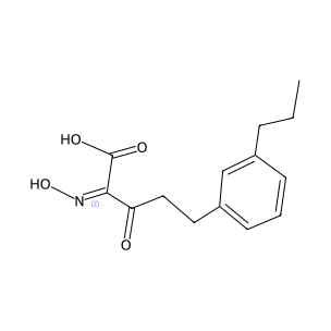 CCCc1cccc(CCC(=O)/C(=N/O)C(=O)O)c1